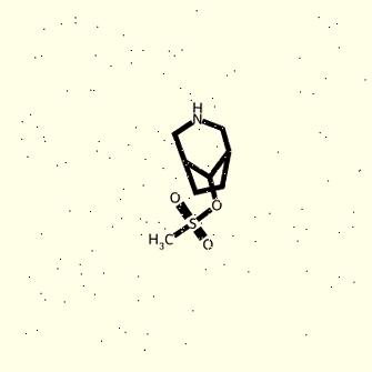 CS(=O)(=O)OC1C2CCC1CNC2